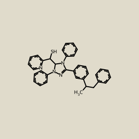 CC(Cc1ccccc1)c1cccc(C2=NN(c3ccccc3)C(C(S)c3ccccn3)N2c2ccccc2)c1